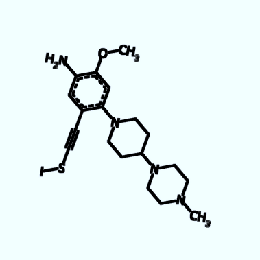 COc1cc(N2CCC(N3CCN(C)CC3)CC2)c(C#CSI)cc1N